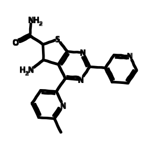 Cc1cccc(-c2nc(-c3cccnc3)nc3c2C(N)C(C(N)=O)S3)n1